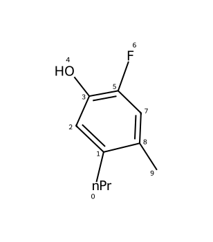 CCCc1cc(O)c(F)cc1C